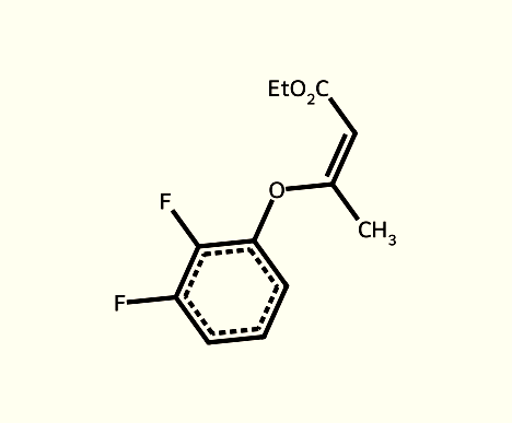 CCOC(=O)/C=C(/C)Oc1cccc(F)c1F